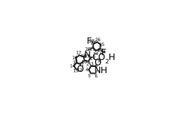 O=C(O)c1c(-c2ccc[nH]c2=O)c2c3occc3ccc2n1Cc1cc(F)ccc1F